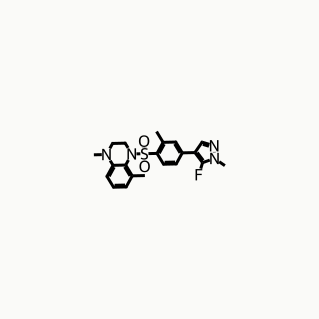 Cc1cc(-c2cnn(C)c2F)ccc1S(=O)(=O)N1CCN(C)c2cccc(C)c21